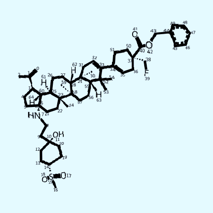 C=C(C)[C@@H]1CC[C@]2(NCC[C@]3(O)CC[C@@H](S(C)(=O)=O)CC3)CC[C@]3(C)[C@H](CC[C@@H]4[C@@]5(C)CC=C(C6=CC[C@](CF)(C(=O)OCc7ccccc7)CC6)C(C)(C)[C@@H]5CC[C@]43C)[C@@H]12